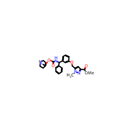 COC(=O)c1cc(COc2cccc(C(NC(=O)OC3CN4CCC3CC4)c3ccccc3)c2)n(C)n1